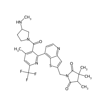 CNC1CCN(C(=O)c2c(C)cc(C(F)(F)F)nc2-c2ccnc3cc(CN4C(=O)C(C)C(C)(C)C4=O)sc23)C1